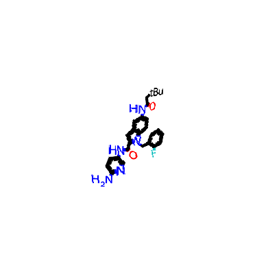 CC(C)(C)CC(=O)Nc1ccc2c(c1)cc(C(=O)Nc1ccc(N)nc1)n2Cc1ccccc1F